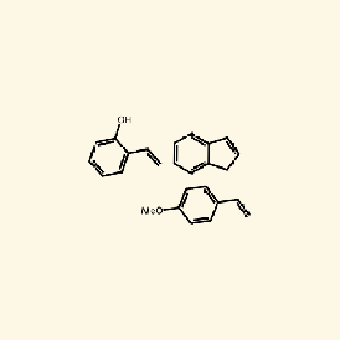 C1=Cc2ccccc2C1.C=Cc1ccc(OC)cc1.C=Cc1ccccc1O